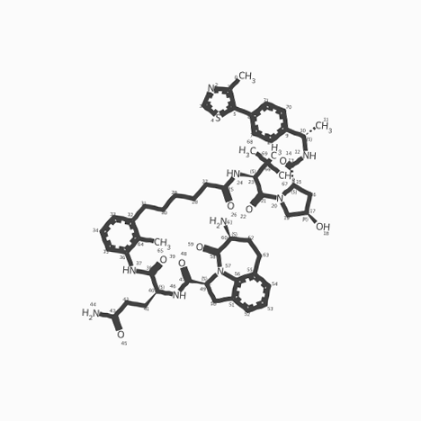 Cc1ncsc1-c1ccc([C@H](C)NC(=O)[C@@H]2C[C@@H](O)CN2C(=O)[C@@H](NC(=O)CCCCCc2cccc(NC(=O)[C@H](CCC(N)=O)NC(=O)[C@@H]3Cc4cccc5c4N3C(=O)[C@@H](N)CC5)c2C)C(C)(C)C)cc1